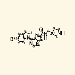 O=C(NCC1CCNCC1)c1nc2c(N3CCc4cc(Br)ccc43)ncnc2s1